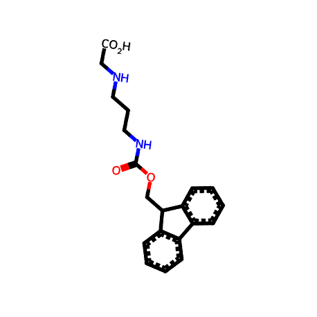 O=C(O)CNCCCNC(=O)OCC1c2ccccc2-c2ccccc21